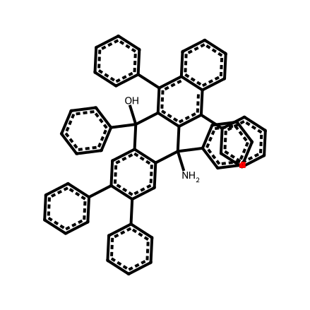 NC1(c2ccccc2)c2cc(-c3ccccc3)c(-c3ccccc3)cc2C(O)(c2ccccc2)c2c1c(-c1ccccc1)c1ccccc1c2-c1ccccc1